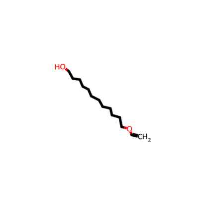 C=COCCCCCCCCCCCCO